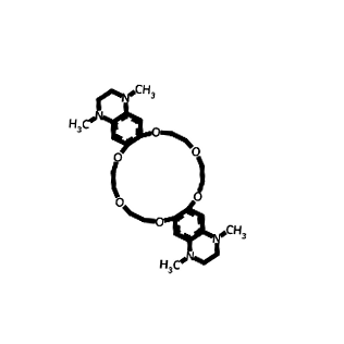 CN1CCN(C)c2cc3c(cc21)OCCOCCOc1cc2c(cc1OCCOCCO3)N(C)CCN2C